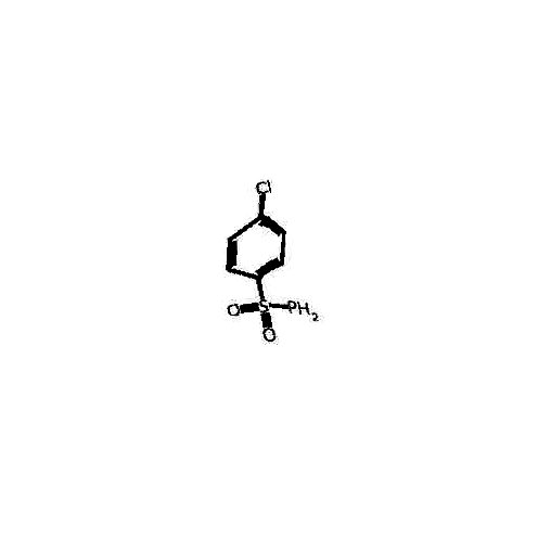 O=S(=O)(P)c1ccc(Cl)cc1